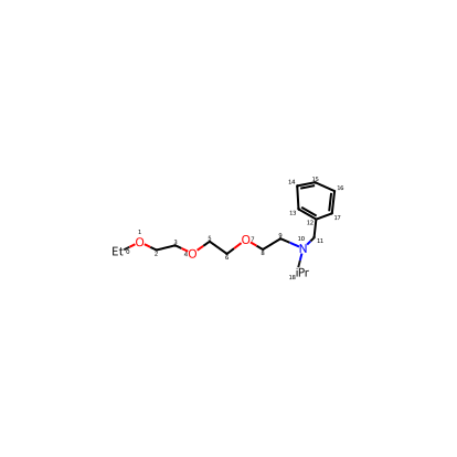 CCOCCOCCOCCN(Cc1ccccc1)C(C)C